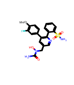 COc1ccc(-c2cc(CN(O)C(N)=O)cnc2-c2ccccc2S(N)(=O)=O)cc1F